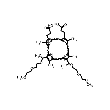 COCCOCCOC(C)C1=C(C)c2cc3[nH]c(cc4nc(cc5[nH]c(cc1n2)c(C)c5CCC(=O)O)C(CCC(=O)O)=C4C)c(C)c3C(C)OCCOCCOC